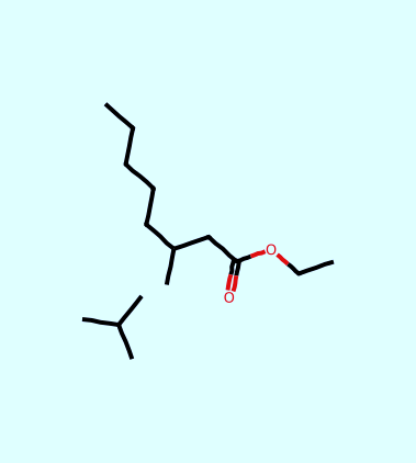 CC(C)C.CCCCCC(C)CC(=O)OCC